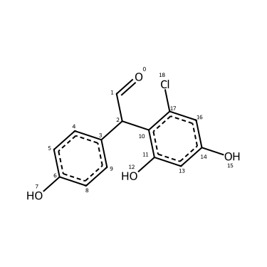 O=CC(c1ccc(O)cc1)c1c(O)cc(O)cc1Cl